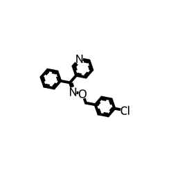 Clc1ccc(CON=C(c2ccccc2)c2cccnc2)cc1